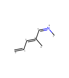 C=C/C=C(C)/C=N\C